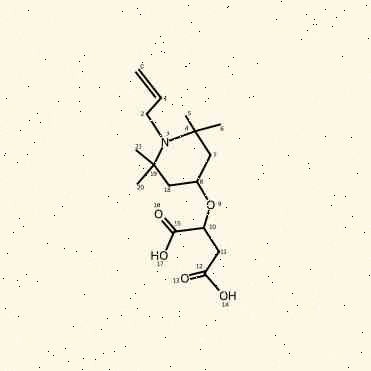 C=CCN1C(C)(C)CC(OC(CC(=O)O)C(=O)O)CC1(C)C